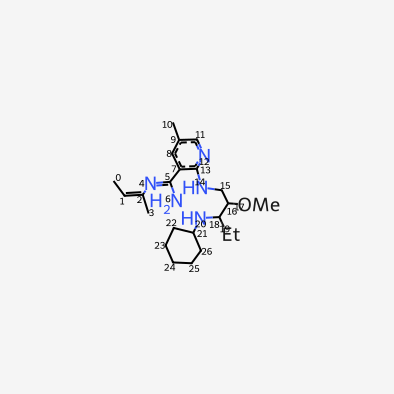 C/C=C(C)\N=C(/N)c1cc(C)cnc1NCC(OC)C(CC)NC1CCCCC1